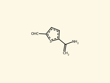 C=C(N)c1ccc(C=O)s1